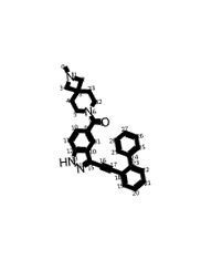 CN1CC2(CCN(C(=O)c3ccc4[nH]nc(C#Cc5ccccc5-c5ccccc5)c4c3)CC2)C1